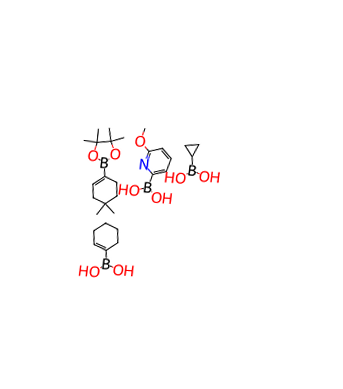 CC1(C)CC=C(B2OC(C)(C)C(C)(C)O2)CC1.COc1cccc(B(O)O)n1.OB(O)C1=CCCCC1.OB(O)C1CC1